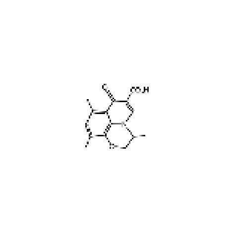 Cc1cc(C)c2c(=O)c(C(=O)O)cn3c2c1OCC3C